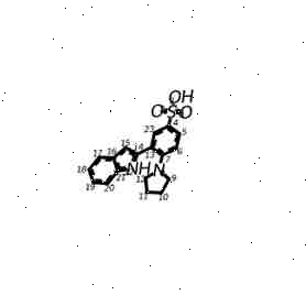 O=S(=O)(O)c1ccc(N2CCCC2)c(-c2cc3ccccc3[nH]2)c1